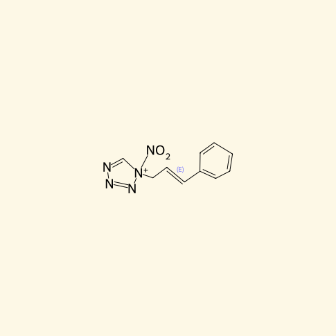 O=[N+]([O-])[N+]1(C/C=C/c2ccccc2)C=NN=N1